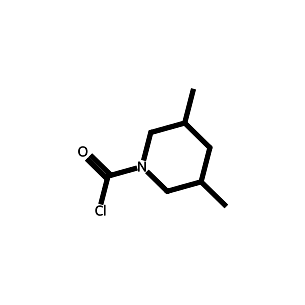 CC1CC(C)CN(C(=O)Cl)C1